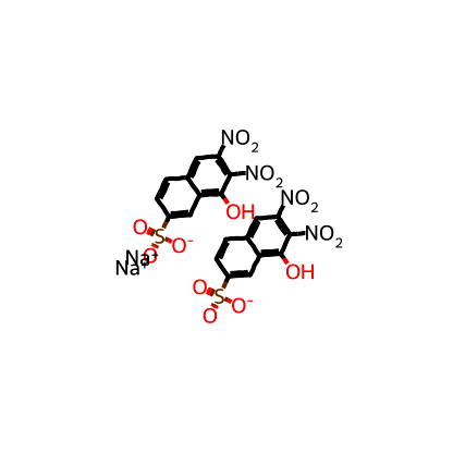 O=[N+]([O-])c1cc2ccc(S(=O)(=O)[O-])cc2c(O)c1[N+](=O)[O-].O=[N+]([O-])c1cc2ccc(S(=O)(=O)[O-])cc2c(O)c1[N+](=O)[O-].[Na+].[Na+]